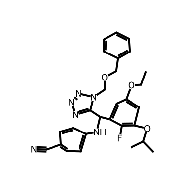 CCOc1cc(OC(C)C)c(F)c(C(Nc2ccc(C#N)cc2)c2nnnn2COCc2ccccc2)c1